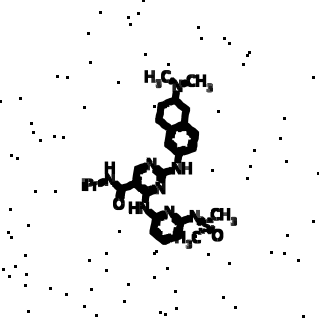 CC(C)NC(=O)c1cnc(Nc2ccc3c(c2)CCC(N(C)C)C3)nc1Nc1cccc(N=S(C)(C)=O)n1